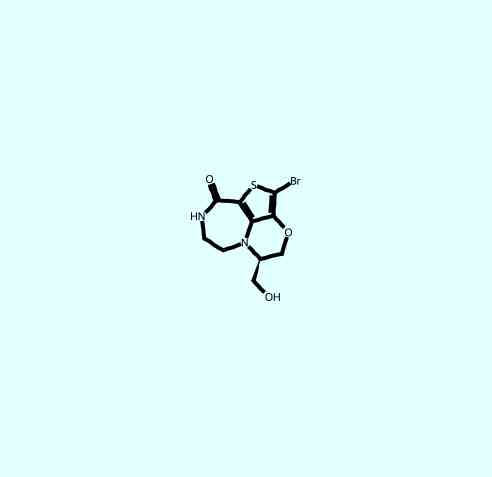 O=C1NCCN2c3c1sc(Br)c3OC[C@H]2CO